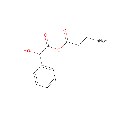 CCCCCCCCCCCC(=O)OC(=O)C(O)c1ccccc1